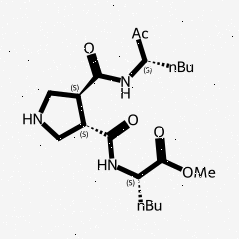 CCCC[C@H](NC(=O)[C@@H]1CNC[C@H]1C(=O)N[C@@H](CCCC)C(=O)OC)C(C)=O